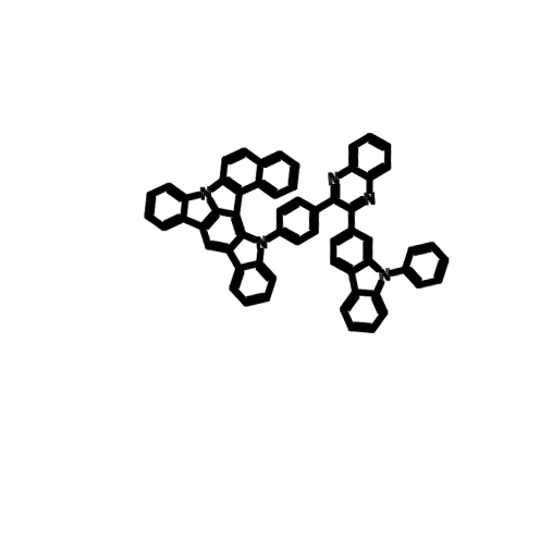 c1ccc(-n2c3ccccc3c3ccc(-c4nc5ccccc5nc4-c4ccc(-n5c6ccccc6c6cc7c8ccccc8n8c9ccc%10ccccc%10c9c(c65)c78)cc4)cc32)cc1